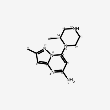 Cc1cc2nc(N)cc(N3CCNC[C@@H]3C)n2n1